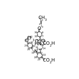 CC#CCOc1ccc(S(=O)(=O)N[C@@H](Cc2cn(Cc3ccc(OC(F)(F)F)cc3)c3ccc(C(=O)O)cc23)C(=O)O)cc1